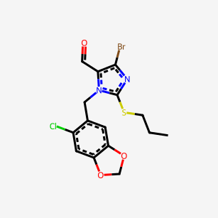 CCCSc1nc(Br)c(C=O)n1Cc1cc2c(cc1Cl)OCO2